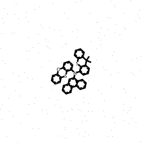 CC1(C)c2ccccc2Sc2c(N(c3cccc4c3Sc3ccccc3O4)c3cc4ccccc4c4ccccc34)cccc21